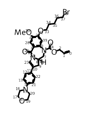 C=CCOC(=O)N1C[C@@H]2CC(c3ccc(N4CCOCC4)cc3)=CN2C(=O)c2cc(OC)c(OCCCCCBr)cc21